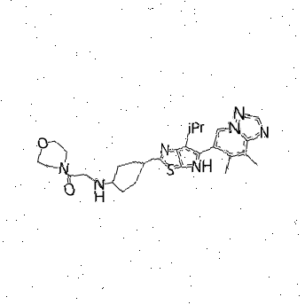 Cc1c(-c2[nH]c3sc(C4CCC(NCC(=O)N5CCOCC5)CC4)nc3c2C(C)C)cn2ncnc2c1C